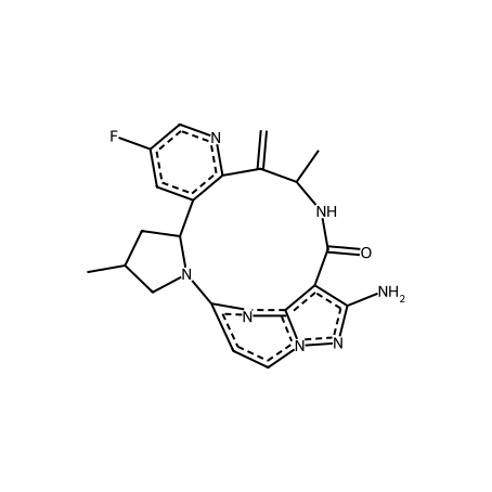 C=C1c2ncc(F)cc2C2CC(C)CN2c2ccn3nc(N)c(c3n2)C(=O)NC1C